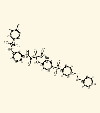 Cc1ccc(S(=O)(=O)Nc2cccc(NC(=O)C(Cl)(Oc3ccc(S(=O)(=O)c4ccc(OCc5ccccc5)cc4)cc3)C(=O)C(C)(C)C)c2)cc1